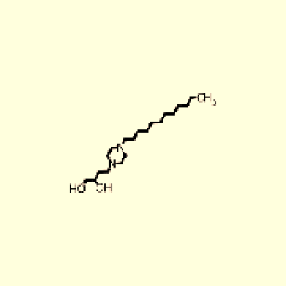 CCCCCCCCCCCCN1CCN(CCC(O)CO)CC1